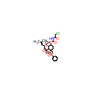 COC1C(OC(=O)NC(=O)CCl)CCC(O)(C[S+]([O-])c2ccccc2)C1C1(C)OC1CC=C(C)C